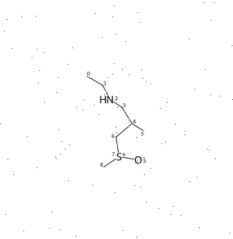 CCNCC(C)C[S+](C)[O-]